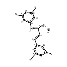 CCCCC(C=Nc1cc(C)cc(C)c1)=Nc1cc(C)cc(C)c1.[Ni]